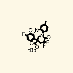 Cc1ccc(N2CC(C(=O)OC(C)(C)C)(c3ccc(F)cc3)CC(F)(F)C2=O)c([N+](=O)[O-])c1